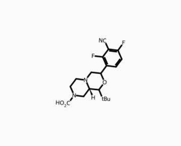 CC(C)(C)C1OC(c2ccc(F)c(C#N)c2F)CN2CCN(C(=O)O)C[C@@H]12